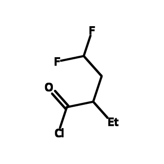 CCC(CC(F)F)C(=O)Cl